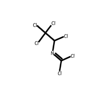 ClC(Cl)=NC(Cl)C(Cl)(Cl)Cl